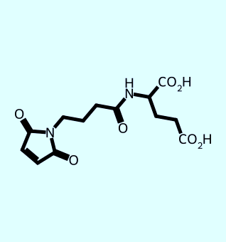 O=C(O)CCC(NC(=O)CCCN1C(=O)C=CC1=O)C(=O)O